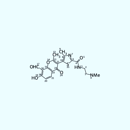 CNCCNC(=O)c1nc(C)c(-c2c(C)oc3c(C=O)c(O)ccc3c2=O)s1